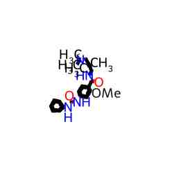 COc1cc(NC(=O)Nc2ccccc2)ccc1C(=O)NCC(C)(C)CN(C)C